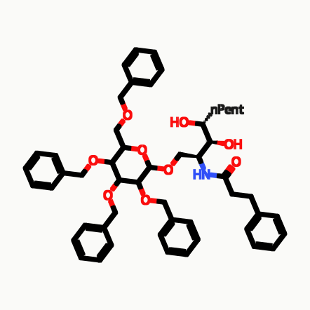 CCCCC[C@@H](O)[C@@H](O)[C@H](COC1OC(COCc2ccccc2)C(OCc2ccccc2)C(OCc2ccccc2)C1OCc1ccccc1)NC(=O)CCc1ccccc1